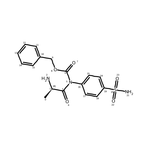 C[C@@H](N)C(=O)N(C(=O)OCc1ccccc1)c1ccc(S(N)(=O)=O)cc1